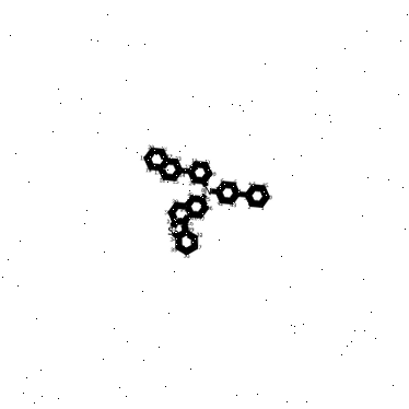 c1ccc(-c2ccc(N(c3cccc(-c4ccc5ccccc5c4)c3)c3ccc4c(ccc5sc6ccccc6c54)c3)cc2)cc1